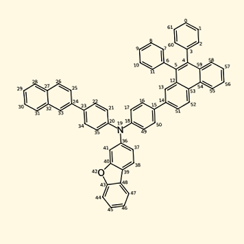 c1ccc(-c2c(-c3ccccc3)c3cc(-c4ccc(N(c5ccc(-c6ccc7ccccc7c6)cc5)c5ccc6c(c5)oc5ccccc56)cc4)ccc3c3ccccc23)cc1